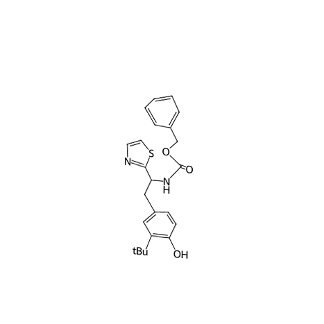 CC(C)(C)c1cc(CC(NC(=O)OCc2ccccc2)c2nccs2)ccc1O